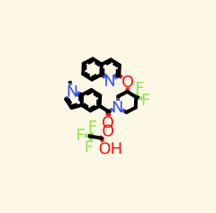 Cn1ccc2cc(C(=O)N3CCC(F)(F)C(Oc4ccc5ccccc5n4)C3)ccc21.O=C(O)C(F)(F)F